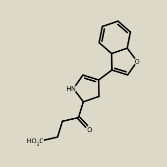 O=C(O)CCC(=O)C1CC(C2=COC3C=CC=CC23)=CN1